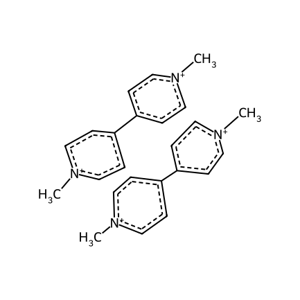 C[n+]1ccc(-c2cc[n+](C)cc2)cc1.C[n+]1ccc(-c2cc[n+](C)cc2)cc1